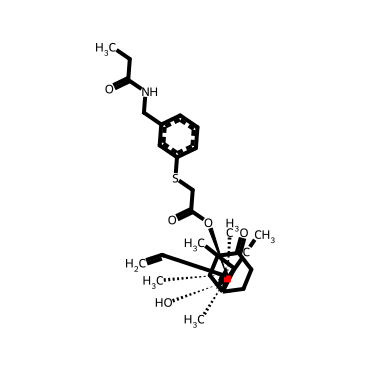 C=C[C@]1(C)C[C@@H](OC(=O)CSc2cccc(CNC(=O)CC)c2)[C@](C)(CC)C2C3(C)CC2(CCC3=O)[C@@H](C)[C@@H]1O